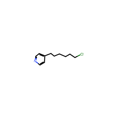 ClCCCCCCc1ccncc1